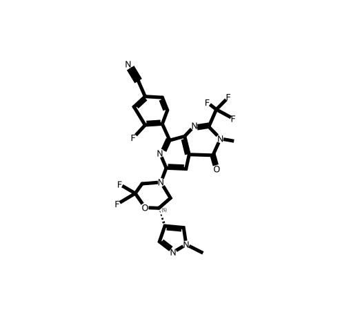 Cn1cc([C@H]2CN(c3cc4c(=O)n(C)c(C(F)(F)F)nc4c(-c4ccc(C#N)cc4F)n3)CC(F)(F)O2)cn1